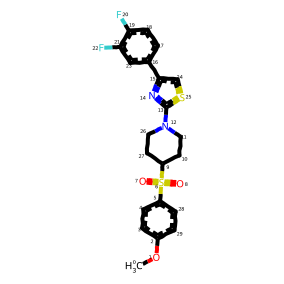 COc1ccc(S(=O)(=O)C2CCN(c3nc(-c4ccc(F)c(F)c4)cs3)CC2)cc1